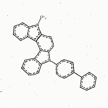 Cn1c2ccccc2c2c3c4ccccc4n(-c4ccc(-c5ccccc5)cc4)c3ccc21